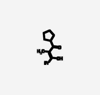 C/C(C(=O)C1CCCC1)=C(/O)C(C)C